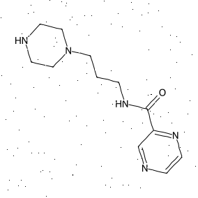 O=C(NCCCN1CCNCC1)c1cnccn1